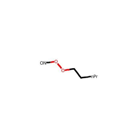 CCCCCOON=O